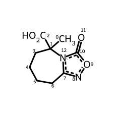 CC1(C(=O)O)CCCCc2noc(=O)n21